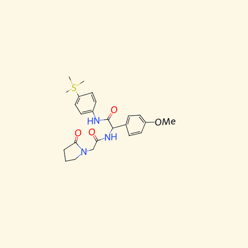 COc1ccc(C(NC(=O)CN2CCCC2=O)C(=O)Nc2ccc(S(C)(C)C)cc2)cc1